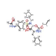 C=CCOC(=O)NC(Cc1ccccc1)[C@@H](O)CN(CC1CCCC1)S(=O)(=O)c1ccc(NC(C)=O)cc1